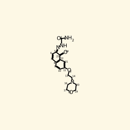 NC(=O)NN=C1C=Cc2ccc(OCCN3CCOCC3)cc2C1=O